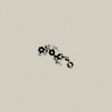 Cc1cc(-c2nn(C)c3nc(NCCN4CCOCC4)ncc23)ccc1NS(=O)(=O)c1cccc(Cl)c1Cl